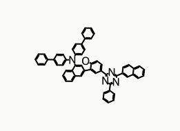 c1ccc(-c2ccc(N(c3ccc(-c4ccccc4)cc3)c3c4ccccc4cc4c3oc3ccc(-c5nc(-c6ccccc6)nc(-c6ccc7ccccc7c6)n5)cc34)cc2)cc1